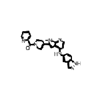 O=C(c1ccccn1)N1CC=C(c2cc3c(Nc4ccc5[nH]ncc5c4)ccnc3[nH]2)CC1